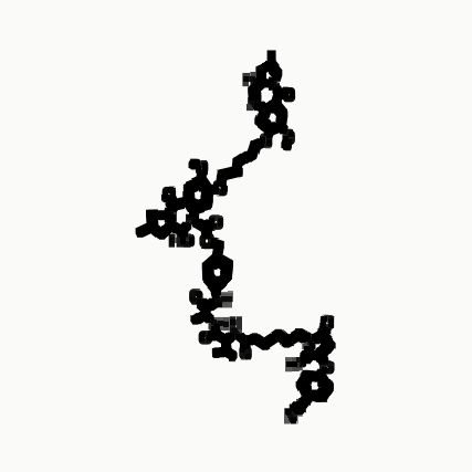 COc1cc2c(cc1OCCCCCOc1cc3c(cc1OC)C(=O)N1C=C(C)CC1C(O)N3C(=O)OCc1ccc(NC(=O)C(C)NC(=O)C(NC(=O)CCCCCN3C(=O)C=C(Oc4ccc(C#N)cc4)C3=P)C(C)C)cc1)N=C[C@H]1CC(C)=CN1C2=O